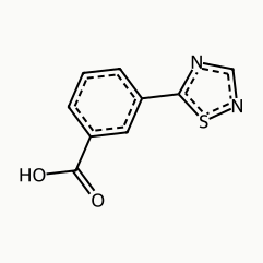 O=C(O)c1cccc(-c2ncns2)c1